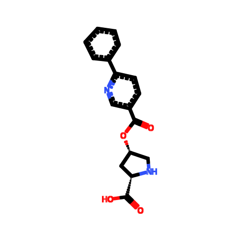 O=C(O[C@@H]1CN[C@H](C(=O)O)C1)c1ccc(-c2ccccc2)nc1